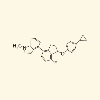 Cn1ccc2c(-c3ccc(F)c4c3CCC4Oc3ccc(C4CC4)cc3)cccc21